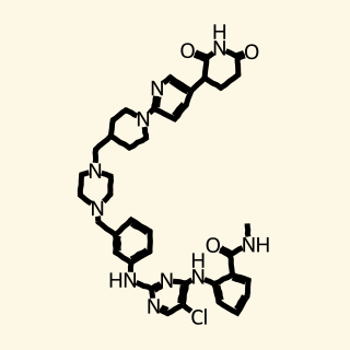 CNC(=O)c1ccccc1Nc1nc(Nc2cccc(CN3CCN(CC4CCN(c5ccc(C6CCC(=O)NC6=O)cn5)CC4)CC3)c2)ncc1Cl